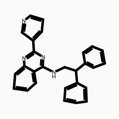 c1ccc(C(CNc2nc(-c3cccnc3)nc3ccccc23)c2ccccc2)cc1